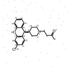 CC(=O)CCN1CCC(=C2c3ccccc3Oc3cc(Cl)ccc32)CC1